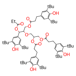 CCC(=O)OC(c1cc(C(C)(C)C)c(O)c(C(C)(C)C)c1)C(COC(=O)CCc1cc(C(C)(C)C)c(O)c(C(C)(C)C)c1)OCC(COC(=O)CCc1cc(C(C)(C)C)c(O)c(C(C)(C)C)c1)OC(=O)CCc1cc(C(C)(C)C)c(O)c(C(C)(C)C)c1